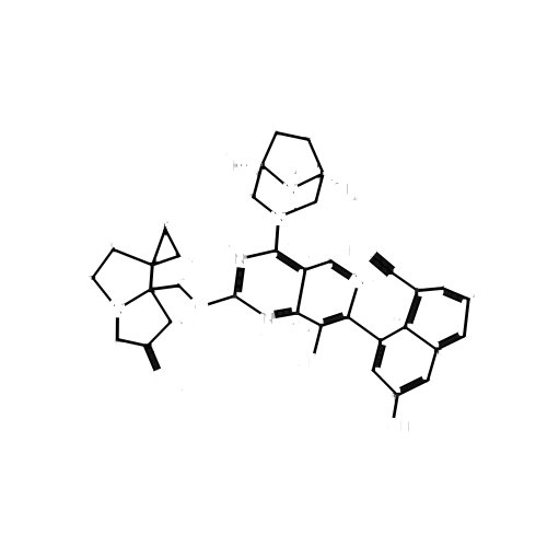 C#Cc1cccc2cc(O)cc(-c3ncc4c(N5C[C@H]6CC[C@@H](C5)N6)nc(OCC56CC(=C)CN5CCC65CC5)nc4c3F)c12